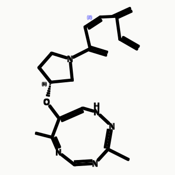 C=CC(=C)/C=C\C(=C)N1CC[C@@H](Oc2c[nH]nc(C)ncnc2C)C1